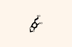 O=N/C=C/c1cc2c(cc1N=O)OCO2